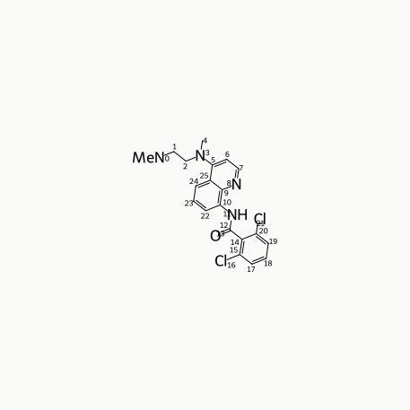 CNCCN(C)c1ccnc2c(NC(=O)c3c(Cl)cccc3Cl)cccc12